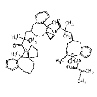 C=C(C)C(=O)O[C@@]1(C)c2ccccc2CC(CC(C)(C)C(=O)OC2(C)c3ccccc3CC(CC(C)(C)C(=O)OC3(C)c4ccccc4CCCCC34CCCC4)CCC23CC3)CCC1C